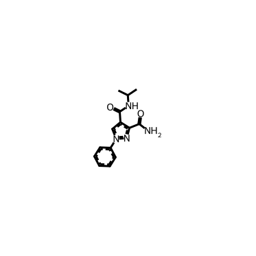 CC(C)NC(=O)c1cn(-c2ccccc2)nc1C(N)=O